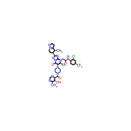 CCc1c(N2CCN(C(=O)c3ncnc(C)c3O)CC2)c(=O)n2nc(-c3ccn4nccc4c3C)nc2n1CC(=O)Nc1ccc(C(F)(F)F)cc1Cl